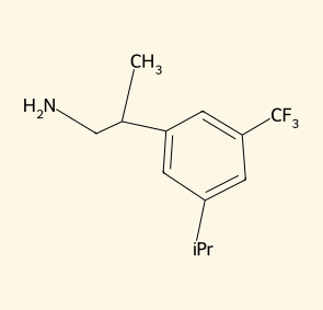 CC(C)c1cc(C(C)CN)cc(C(F)(F)F)c1